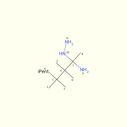 CCCC(C)C(C)(C)C(C)(C)C(C)(N)NN